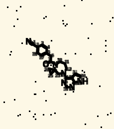 N#Cc1ccc(CC(=O)N2CCCN(c3ncnc4[nH]ccc34)CC23CC3)cc1